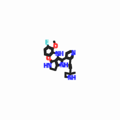 COc1c(F)cccc1Nc1c(-c2ccncc2C#CC2(C)CCN2)[nH]c2c1C(=O)NCC2